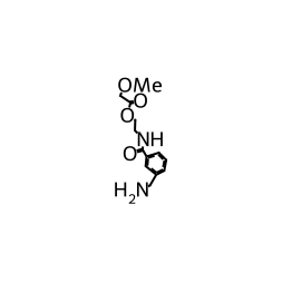 COCC(=O)OCCNC(=O)c1cccc(CN)c1